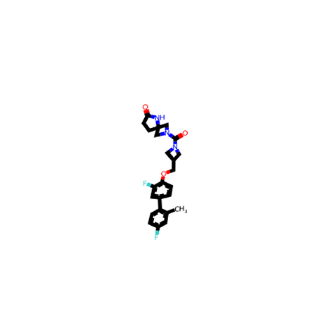 Cc1cc(F)ccc1-c1ccc(OCC2CN(C(=O)N3CC4(CCC(=O)N4)C3)C2)c(F)c1